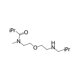 CC(C)CNCCOCCN(C)C(=O)C(C)C